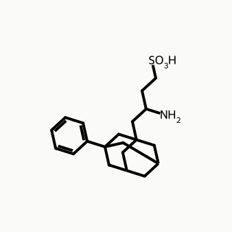 NC(CCS(=O)(=O)O)CC12CC3CC(C1)CC(c1ccccc1)(C3)C2